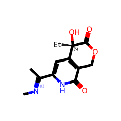 CC[C@@]1(O)C(=O)OCc2c1cc(/C(C)=N/C)[nH]c2=O